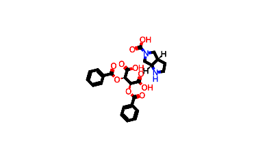 O=C(O)N1C[C@H]2CCN[C@H]2C1.O=C(O[C@H](C(=O)O)[C@H](OC(=O)c1ccccc1)C(=O)O)c1ccccc1